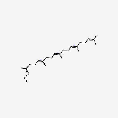 CON=C(C)CC/C=C(\C)CC/C=C(\C)CC/C=C(\C)CCC=C(C)C